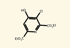 CCOC(=O)c1cc(O)c(Cl)c(C(=O)OCC)n1